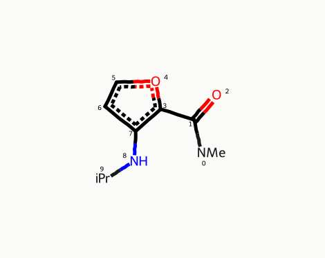 CNC(=O)c1occc1NC(C)C